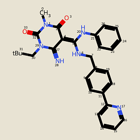 CN1C(=O)/C(=C(/NCc2ccc(-c3ccccn3)cc2)Nc2ccccc2)C(=N)N(CC(C)(C)C)C1=O